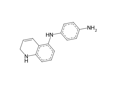 Nc1ccc(Nc2cccc3c2C=CCN3)cc1